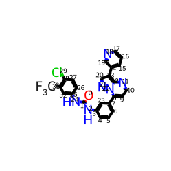 O=C(Nc1cccc(-c2ccnc3c(-c4cccnc4)cnn23)c1)Nc1ccc(Cl)c(C(F)(F)F)c1